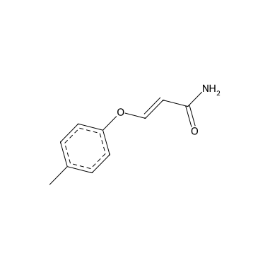 Cc1ccc(OC=CC(N)=O)cc1